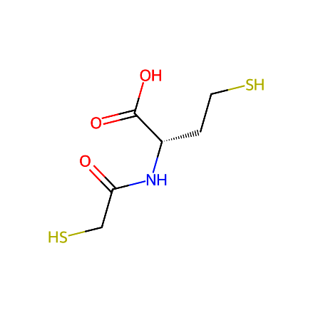 O=C(CS)N[C@@H](CCS)C(=O)O